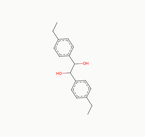 CCc1ccc(C(O)C(O)c2ccc(CC)cc2)cc1